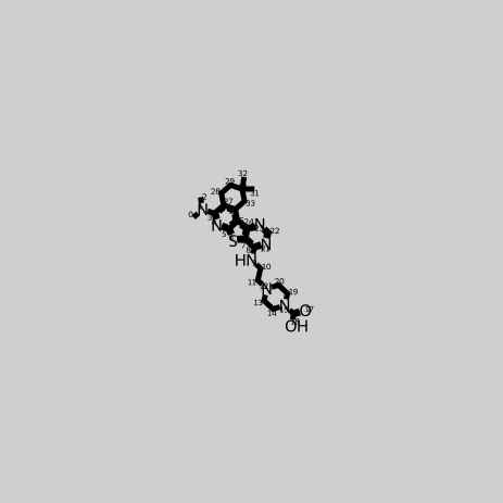 CN(C)c1nc2sc3c(NCCN4CCN(C(=O)O)CC4)ncnc3c2c2c1CCC(C)(C)C2